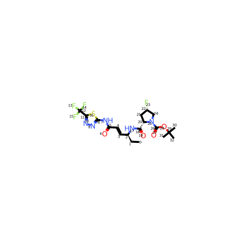 CC[C@@H](/C=C/C(=O)Nc1nnc(C(F)(F)F)s1)NC(=O)[C@@H]1C[C@H](F)CN1C(=O)OC(C)(C)C